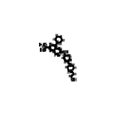 C[C@@H](O)c1cc2cnc(Nc3ccc(N4CCN(CCO)CC4)nn3)nc2c(N2CCCCC2)n1